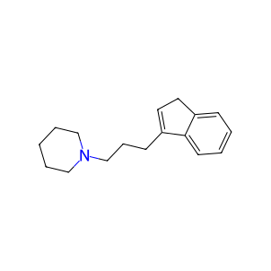 C1=C(CCCN2CCCCC2)c2ccccc2C1